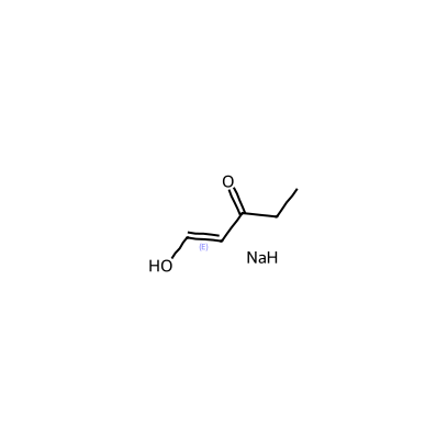 CCC(=O)/C=C/O.[NaH]